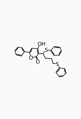 O=c1oc(-c2ccccc2)cc(O)c1C(CCCSc1ccccc1)Sc1ccccc1